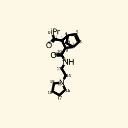 CC(C)C(=O)C1C2C=CC(C2)C1C(=O)NCCN1CCCC1